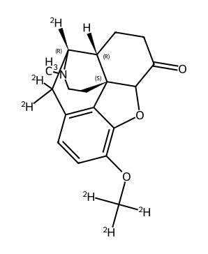 [2H]C([2H])([2H])Oc1ccc2c3c1OC1C(=O)CC[C@@H]4[C@@]31CCN(C)[C@]4([2H])C2([2H])[2H]